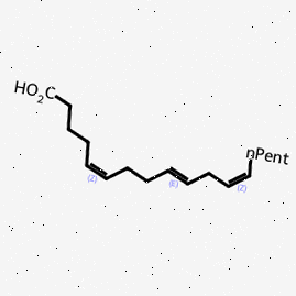 CCCCC/C=C\C/C=C/CC/C=C\CCCC(=O)O